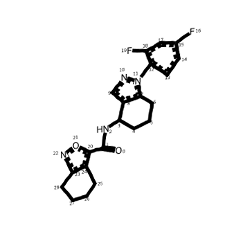 O=C(NC1CCCc2c1cnn2-c1ccc(F)cc1F)c1onc2c1CCCC2